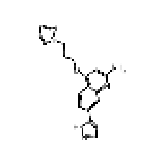 Nc1cc(OCCCn2cccn2)c2ccc(-c3ccn[nH]3)cc2n1